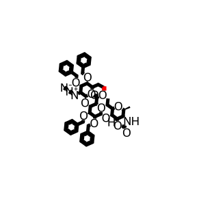 CCC1O[C@@H](C)C2NC(=O)O[C@H]2[C@@H]1O[C@@H]1OC(C(=O)OC)[C@@H](O[C@H]2OC(CC)[C@@H](OCc3ccccc3)[C@@H](OCc3ccccc3)C2N=[N+]=[N-])[C@@H](OCc2ccccc2)C1OCc1ccccc1